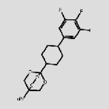 CCCC12COC(C3CCC(c4cc(F)c(F)c(F)c4)CC3)(OC1)OC2